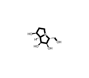 OC[C@@H]1[C@@H](O)[C@@H](O)[C@H]2[C@@H](O)CCN21